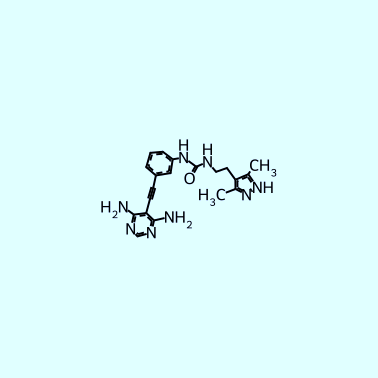 Cc1n[nH]c(C)c1CCNC(=O)Nc1cccc(C#Cc2c(N)ncnc2N)c1